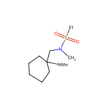 CCS(=O)(=O)N(C)CC1(NC)CCCCC1